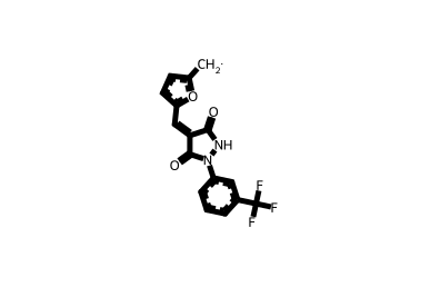 [CH2]c1ccc(C=C2C(=O)NN(c3cccc(C(F)(F)F)c3)C2=O)o1